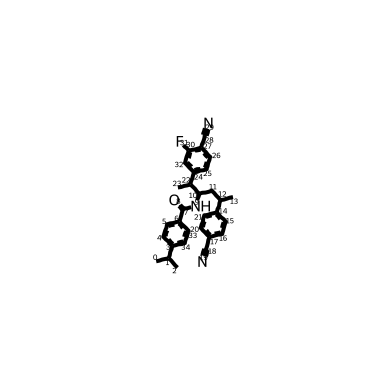 CC(C)c1ccc(C(=O)NC(CC(C)c2ccc(C#N)cc2)C(C)c2ccc(C#N)c(F)c2)cc1